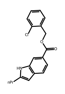 CCCc1cc2ccc(C(=O)OCc3ccccc3Cl)cc2[nH]1